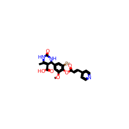 COc1cc(C2NC(=O)NC(C)=C2C(=O)O)cc(Br)c1OC(=O)C=Cc1ccncc1